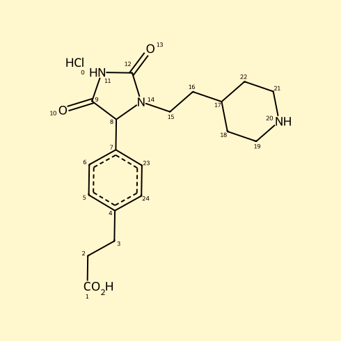 Cl.O=C(O)CCc1ccc(C2C(=O)NC(=O)N2CCC2CCNCC2)cc1